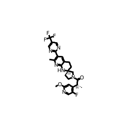 COc1cc([C@@H](C)C(=O)N2CC[C@@]3(CCc4cc(-c5ncc(C(F)(F)F)cn5)c(C)nc4N3)C2)c(F)cn1